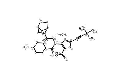 CC[C@@H](C(=O)N1CC2CC1CO2)N(c1cc(C#CC(C)(C)C)sc1C(=O)O)C(=O)[C@H]1CC[C@H](C)CC1